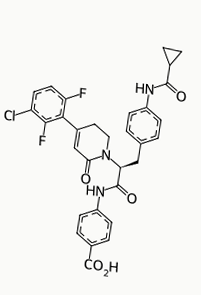 O=C(O)c1ccc(NC(=O)[C@H](Cc2ccc(NC(=O)C3CC3)cc2)N2CCC(c3c(F)ccc(Cl)c3F)=CC2=O)cc1